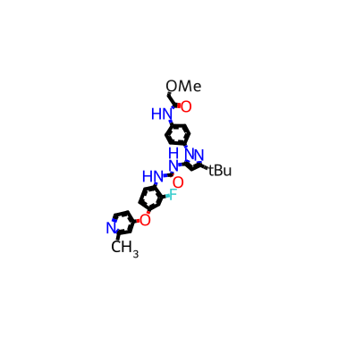 COCC(=O)Nc1ccc(-n2nc(C(C)(C)C)cc2NC(=O)Nc2ccc(Oc3ccnc(C)c3)cc2F)cc1